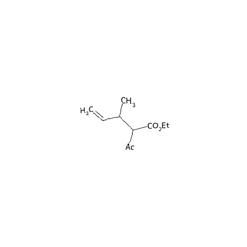 C=CC(C)C(C(C)=O)C(=O)OCC